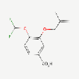 C=C(C)COc1cc(C(=O)O)ccc1OC(F)F